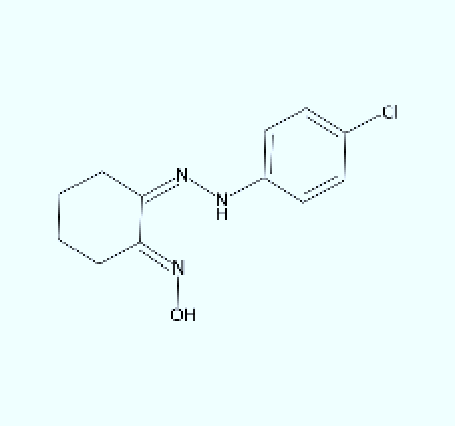 O/N=C1\CCCC\C1=N\Nc1ccc(Cl)cc1